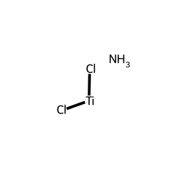 N.[Cl][Ti][Cl]